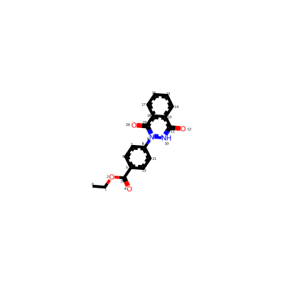 CCOC(=O)c1ccc(-n2[nH]c(=O)c3ccccc3c2=O)cc1